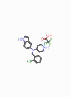 Clc1ccccc1CN(c1ccc2[nH]ccc2c1)C1CCNCC1.O=C(O)C(F)(F)F